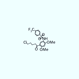 COc1cc(OC)c(C(=O)CCCCCl)cc1NS(=O)(=O)c1ccc(C(F)(F)F)cc1